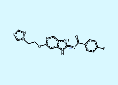 O=C(/N=c1\[nH]c2cnc(OCCn3cncn3)cc2[nH]1)c1ccc(F)cc1